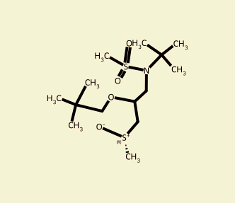 C[S@+]([O-])CC(CN(C(C)(C)C)S(C)(=O)=O)OCC(C)(C)C